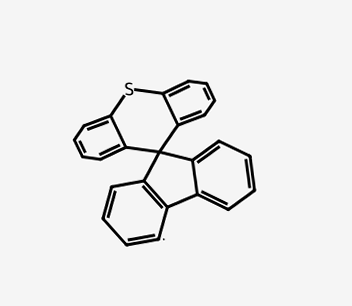 [c]1cccc2c1-c1ccccc1C21c2ccccc2Sc2ccccc21